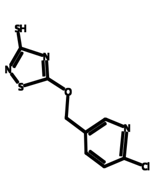 Sc1nsc(OCc2ccc(Cl)nc2)n1